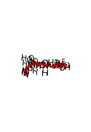 C[C@]12C=CC(=O)C=C1[C@@H](F)C[C@@H]1[C@@H]2[C@@H](O)C[C@@]2(C)[C@H]1C[C@H]1CN(c3ccc(Cc4cccc(NC(=O)OCc5ccc(NC(=O)[C@H](CCC(=O)O)NC(=O)CNC(=O)Cc6ccc(-c7nncnn7)cc6)cc5)c4)cc3)C[C@]12C(=O)CO